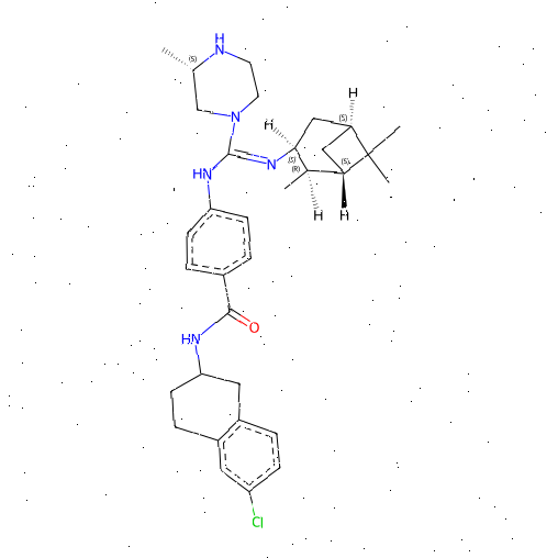 C[C@H]1[C@@H](N=C(Nc2ccc(C(=O)NC3CCc4cc(Cl)ccc4C3)cc2)N2CCN[C@@H](C)C2)C[C@@H]2C[C@@H]1C2(C)C